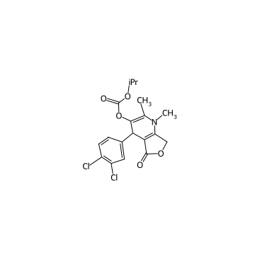 CC1=C(OC(=O)OC(C)C)C(c2ccc(Cl)c(Cl)c2)C2=C(COC2=O)N1C